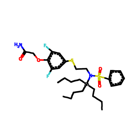 CCC[CH2][Sn]([CH2]CCC)([CH2]CCC)[N](CCSc1cc(F)c(OCC(N)=O)c(F)c1)S(=O)(=O)c1ccccc1